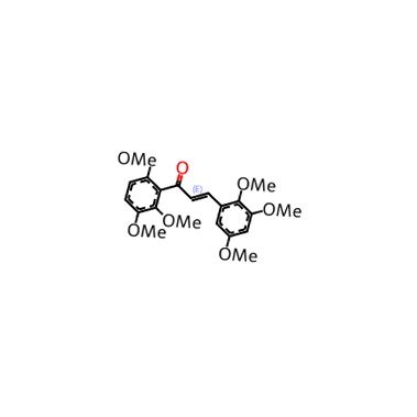 COc1cc(/C=C/C(=O)c2c(OC)ccc(OC)c2OC)c(OC)c(OC)c1